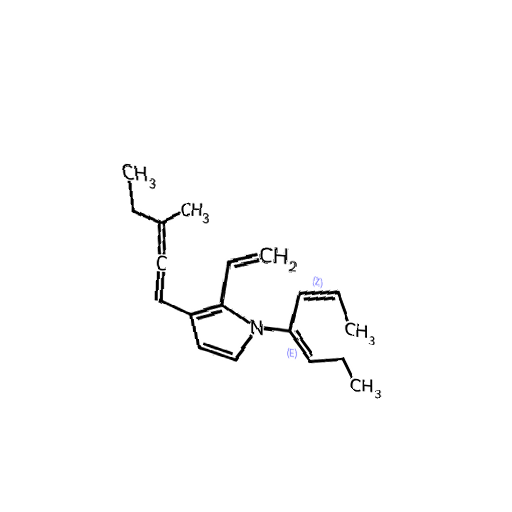 C=Cc1c(C=C=C(C)CC)ccn1C(/C=C\C)=C/CC